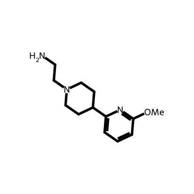 COc1cccc(C2CCN(CCN)CC2)n1